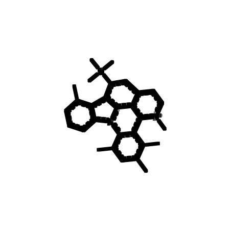 Cc1cc(C)c2c(c1C)c1c3c(cc[n+]1C)cc([Si](C)(C)C)c1c4c(C)cccc4n2c13